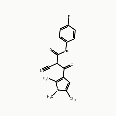 Cc1cc(C(=O)C(C#N)C(=O)Nc2ccc(F)cc2)c(C)n1C